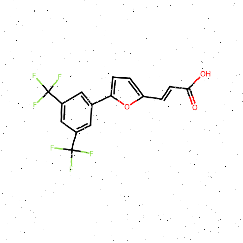 O=C(O)/C=C/c1ccc(-c2cc(C(F)(F)F)cc(C(F)(F)F)c2)o1